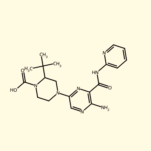 CC(C)(C)C1CN(c2cnc(N)c(C(=O)Nc3ccccn3)n2)CCN1C(=O)O